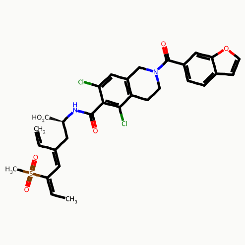 C=C/C(=C\C(=C/C)S(C)(=O)=O)C[C@H](NC(=O)c1c(Cl)cc2c(c1Cl)CCN(C(=O)c1ccc3ccoc3c1)C2)C(=O)O